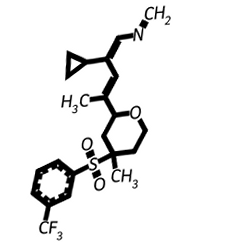 C=N/C=C(\C=C(/C)C1CC(C)(S(=O)(=O)c2cccc(C(F)(F)F)c2)CCO1)C1CC1